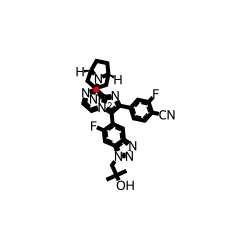 CC(C)(O)Cn1nnc2cc(-c3c(-c4ccc(C#N)c(F)c4)nc4c(N5[C@@H]6CC[C@H]5C[C@@H](N)C6)nccn34)c(F)cc21